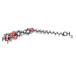 CCCCCCCCCCCCCCCCCCOc1ccc(C=Cc2ccc(S(=O)(=O)C(CC)OC3CCCOC3)cc2)cc1